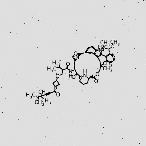 CCn1c(-c2cccnc2[C@H](C)OC)c2c3cc(ccc31)-c1nc(co1)C[C@H](NC(=O)C(COC1CN(C(=O)C#CC(C)(C)N(C)C)C1)C(C)C)C(=O)N1CCC[C@H](N1)C(=O)OCC(C)(C)C2